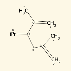 C=C(C)CC(C(=C)C)C(C)C